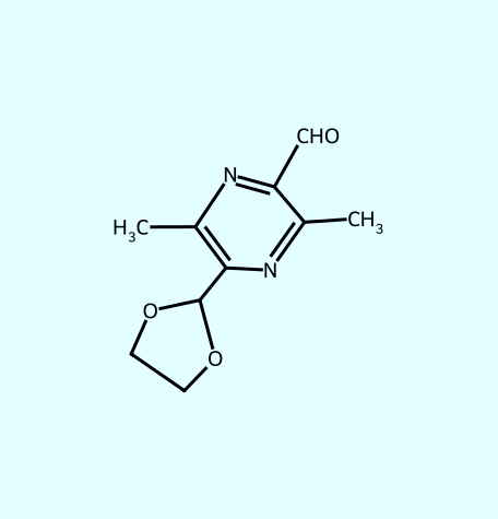 Cc1nc(C2OCCO2)c(C)nc1C=O